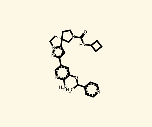 CC(Oc1cc(-c2cc3n(n2)CC[C@@]32CCN(C(=O)NC3CCC3)C2)cnc1N)c1ccncc1